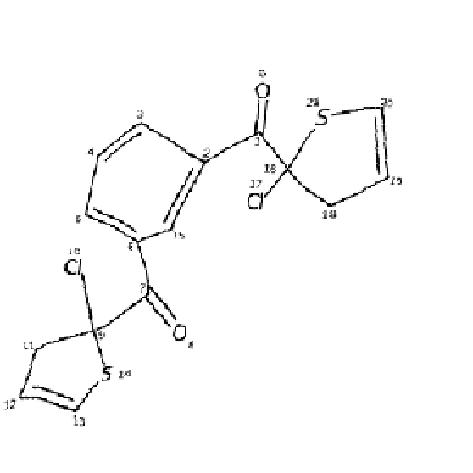 O=C(c1cccc(C(=O)C2(Cl)CC=CS2)c1)C1(Cl)CC=CS1